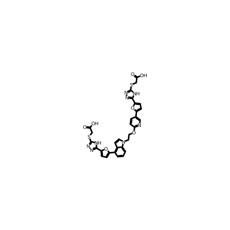 O=C(O)CSc1nnc(-c2ccc(-c3ccc(OCCn4ccc5c(-c6ccc(-c7nnc(SCC(=O)O)[nH]7)o6)cccc54)nc3)o2)[nH]1